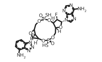 Nc1ncnc2c1ncn2[C@@H]1O[C@@H]2COP(=O)(S)O[C@@H]3[C@H](F)C(COP(=O)(S)O[C@H]2[C@H]1F)O[C@H]3n1nnc2c(N)cccc21